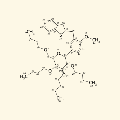 CCCCOCC1OC(c2ccc(OC)c(CC3Cc4ccccc4S3)c2)[C@H](OCCCC)[C@@H](OCCCC)[C@@H]1OCCCC